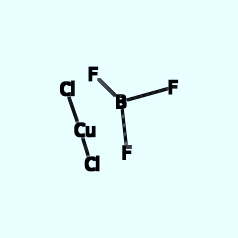 FB(F)F.[Cl][Cu][Cl]